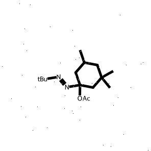 CC(=O)OC1(N=NC(C)(C)C)CC(C)CC(C)(C)C1